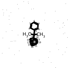 CC(C)(c1ccccc1)[C]12[CH]3[CH]4[CH]5[CH]1[Fe]45321678[CH]2[CH]1[CH]6[CH]7[CH]28